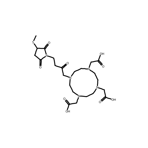 CSC1CC(=O)N(CCC(=O)CN2CCN(CC(=O)O)CCN(CC(=O)O)CCN(CC(=O)O)CC2)C1=O